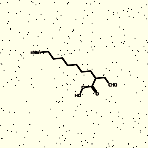 CCCCCCCCCCCCCCCCC(CC=O)C(=O)OO